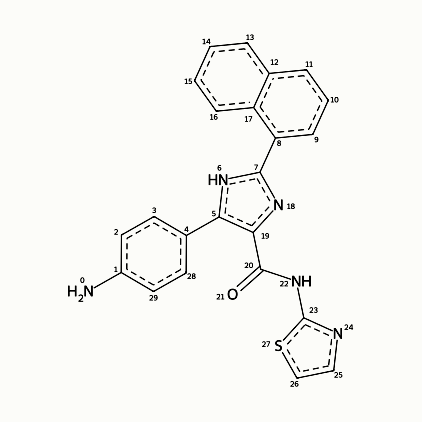 Nc1ccc(-c2[nH]c(-c3cccc4ccccc34)nc2C(=O)Nc2nccs2)cc1